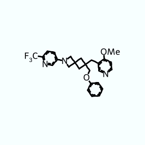 COc1ccncc1CC1(COc2ccccc2)CC2(CN(c3ccc(C(F)(F)F)nc3)C2)C1